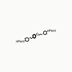 CCCCC[C@H]1CC[C@H](CCCOc2ccc(CC[C@H]3CC[C@H](CCCCC)CC3)cc2)CC1